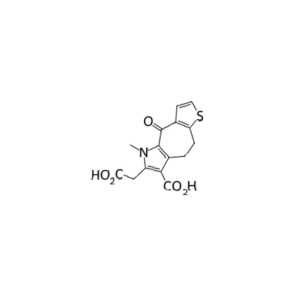 Cn1c(CC(=O)O)c(C(=O)O)c2c1C(=O)c1ccsc1CC2